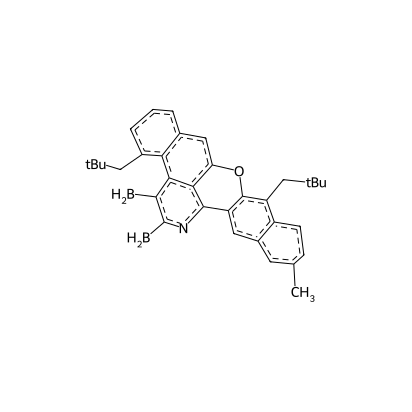 Bc1nc2c3c(cc4cccc(CC(C)(C)C)c4c3c1B)Oc1c-2cc2cc(C)ccc2c1CC(C)(C)C